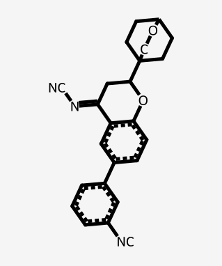 [C-]#[N+]c1cccc(-c2ccc3c(c2)/C(=N/C#N)CC(C24CCC(CC2)OC4)O3)c1